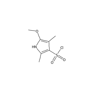 COc1[nH]c(C)c(S(=O)(=O)Cl)c1C